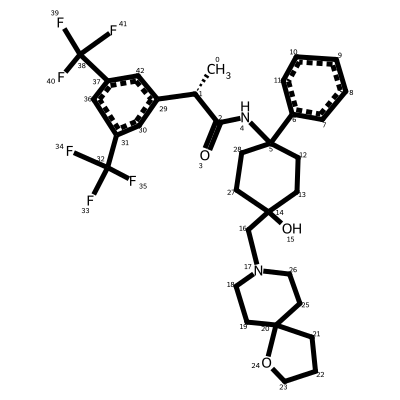 C[C@H](C(=O)NC1(c2ccccc2)CCC(O)(CN2CCC3(CCCO3)CC2)CC1)c1cc(C(F)(F)F)cc(C(F)(F)F)c1